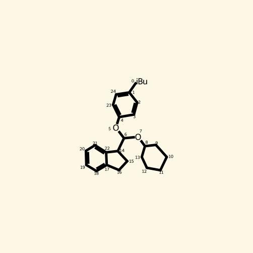 CCC(C)c1ccc(OC(OC2CCCCC2)C2CCc3ccccc32)cc1